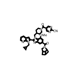 COc1cc(C(=O)N2CC3CC4CC2[C@H]43)cc2nc(-c3cc4cccnc4n3CC3CC3)n(CC3CCN(C(=O)c4cnc(C#N)nc4)CC3)c12